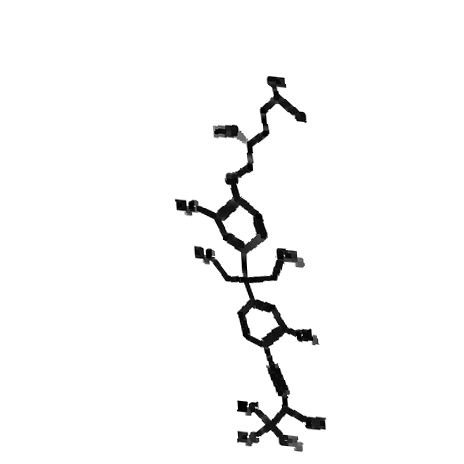 CCC(CC)(c1ccc(C#CC(O)C(C)(C)C)c(C)c1)c1ccc(OC[C@H](O)CCC(=O)O)c(C)c1